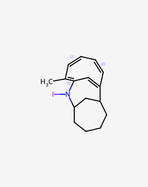 CC1=C2C=C(\C=C/C=C\1)C1CCCCC(C1)N\2I